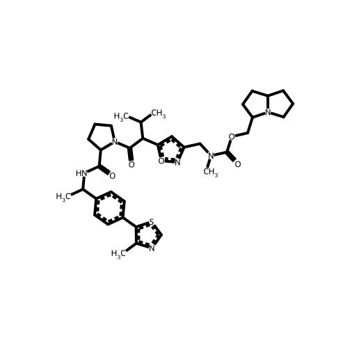 Cc1ncsc1-c1ccc(C(C)NC(=O)C2CCCN2C(=O)C(c2cc(CN(C)C(=O)OCC3CCC4CCCN43)no2)C(C)C)cc1